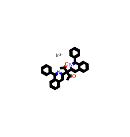 CC(=O)C(C(C)=O)(c1cc2ccccc2c(-c2ccccc2)n1)c1cc2ccccc2c(-c2ccccc2)n1.[Ir+3]